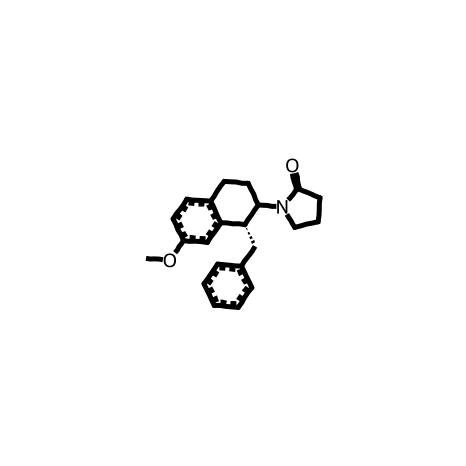 COc1ccc2c(c1)[C@@H](Cc1ccccc1)C(N1CCCC1=O)CC2